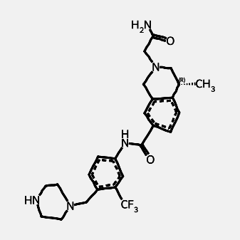 C[C@H]1CN(CC(N)=O)Cc2cc(C(=O)Nc3ccc(CN4CCNCC4)c(C(F)(F)F)c3)ccc21